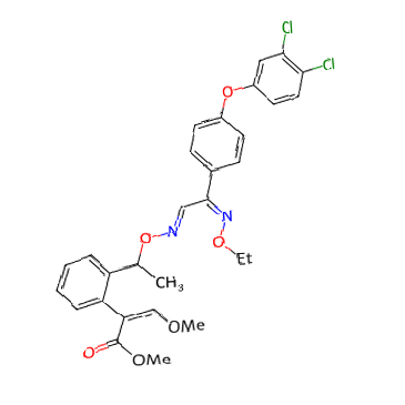 CCON=C(C=NOC(C)c1ccccc1C(=COC)C(=O)OC)c1ccc(Oc2ccc(Cl)c(Cl)c2)cc1